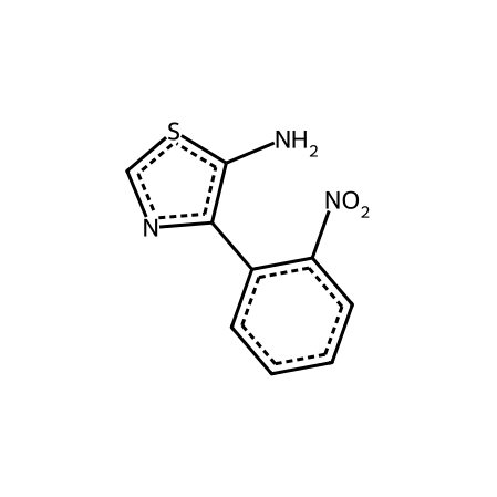 Nc1scnc1-c1ccccc1[N+](=O)[O-]